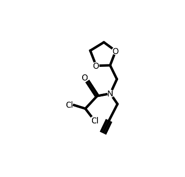 C#CCN(CC1OCCO1)C(=O)C(Cl)Cl